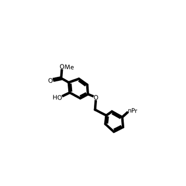 CCCc1cccc(COc2ccc(C(=O)OC)c(O)c2)c1